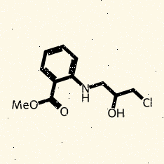 COC(=O)c1ccccc1NCC(O)CCl